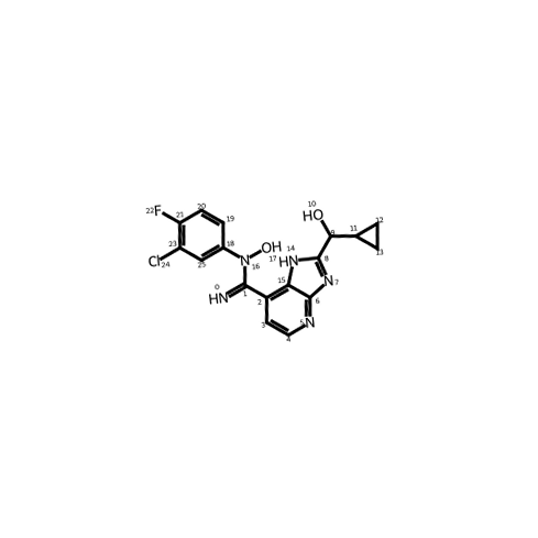 N=C(c1ccnc2nc(C(O)C3CC3)[nH]c12)N(O)c1ccc(F)c(Cl)c1